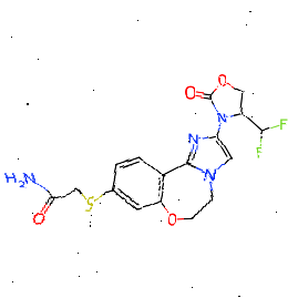 NC(=O)CSc1ccc2c(c1)OCCn1cc(N3C(=O)OCC3C(F)F)nc1-2